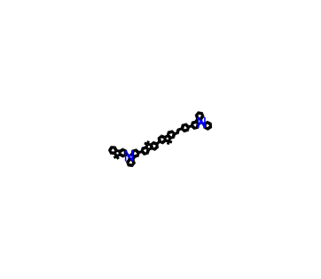 CC1(C)c2cc(/C=C/c3ccc(-c4ccc5c(c4)c4ccccc4n5-c4ccccc4)cc3)ccc2-c2ccc(-c3ccc4c(c3)C(C)(C)c3cc(-c5ccc6c(c5)c5ccccc5n6-c5ccc6c(c5)C(C)(C)c5ccccc5-6)ccc3-4)cc21